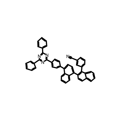 N#Cc1cccc(-c2c(-c3ccc(-c4ccc(-c5nc(-c6ccccc6)nc(-c6ccccc6)n5)cc4)c4ccccc34)ccc3ccccc23)c1